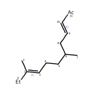 CC/C(C)=C/CCC(C)C/C=C/C(C)=O